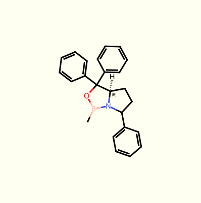 CB1OC(c2ccccc2)(c2ccccc2)[C@H]2CCC(c3ccccc3)N12